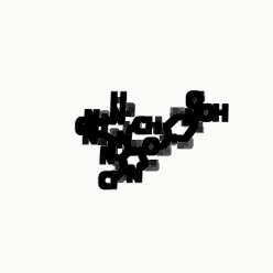 CCn1c(-c2nonc2N)nc2c(Cl)ncc(OCC3CCN(C(=O)O)CC3)c21